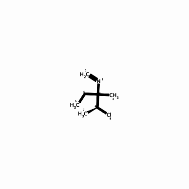 C=NC(C)(CC)[C@H](C)Cl